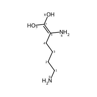 NCCCCC(N)=C(O)O